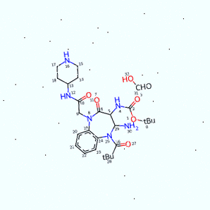 CC(C)(C)OC(=O)NC1C(=O)N(CC(=O)NC2CCNCC2)c2ccccc2N(C(=O)C(C)(C)C)C1N.O=CO